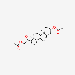 CC(=O)OCC(=O)C1CCC2C3CC=C4CC(OC(C)=O)CCC4(C)C3CCC12C